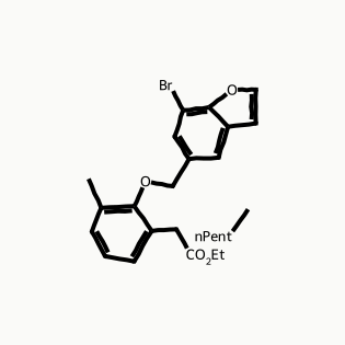 CCCCCC.CCOC(=O)Cc1cccc(C)c1OCc1cc(Br)c2occc2c1